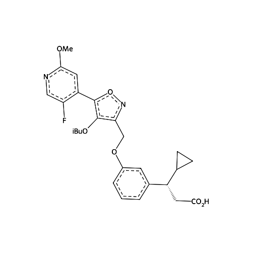 COc1cc(-c2onc(COc3cccc([C@@H](CC(=O)O)C4CC4)c3)c2OCC(C)C)c(F)cn1